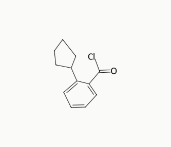 O=C(Cl)c1ccccc1C1CCCC1